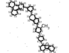 Cc1cc(-c2ccc(-c3cccc4c3oc3ccccc34)cc2)ccc1-c1ccc2c(c1)=CCC(c1cccc(-c3cnc4c5ccccc5c5ccccc5c4n3)c1)C=2